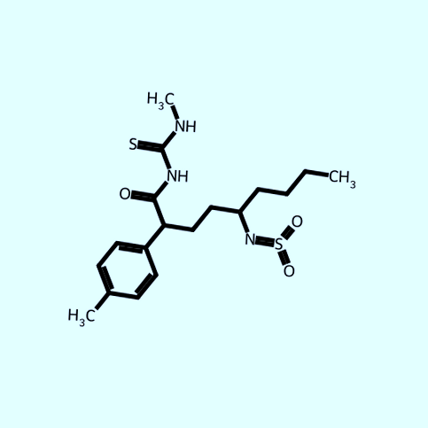 CCCCC(CCC(C(=O)NC(=S)NC)c1ccc(C)cc1)N=S(=O)=O